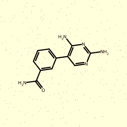 NC(=O)c1cccc(-c2cnc(N)nc2N)c1